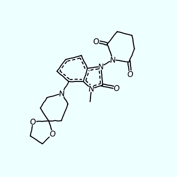 Cn1c(=O)n(N2C(=O)CCCC2=O)c2cccc(N3CCC4(CC3)OCCO4)c21